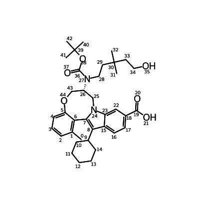 Cc1cccc2c1-c1c(C3CCCCC3)c3ccc(C(=O)O)cc3n1C[C@@H](N(CCC(C)(C)CCO)C(=O)OC(C)(C)C)CO2